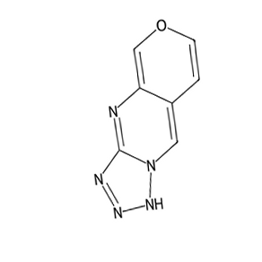 C1=CC2=CN3NN=NC3=NC2=CO1